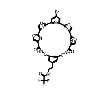 O=C1NCc2cc(CCNC(=O)C(F)(F)F)cc(c2)CNC(=O)c2coc(n2)-c2coc(n2)-c2cc(Br)cc(n2)-c2nc(co2)-c2nc1co2